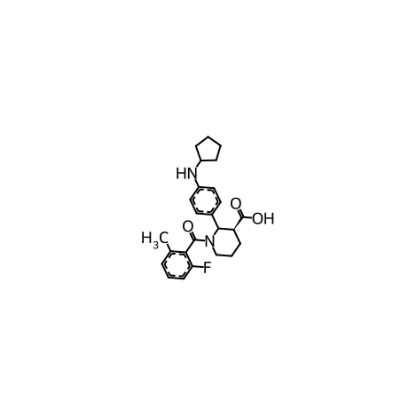 Cc1cccc(F)c1C(=O)N1CCC[C@H](C(=O)O)C1c1ccc(NC2CCCC2)cc1